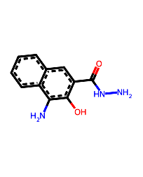 NNC(=O)c1cc2ccccc2c(N)c1O